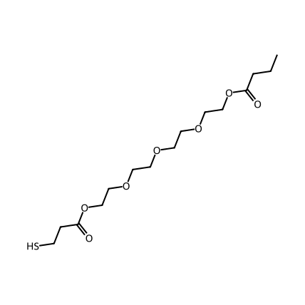 CCCC(=O)OCCOCCOCCOCCOC(=O)CCS